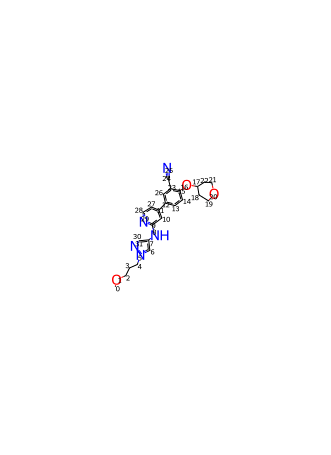 COCCCn1cc(Nc2cc(-c3ccc(OC4CCOCC4)c(C#N)c3)ccn2)cn1